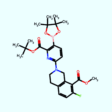 COC(=O)c1c(F)ccc2c1CN(c1ccc(B3OC(C)(C)C(C)(C)O3)c(C(=O)OC(C)(C)C)n1)CC2